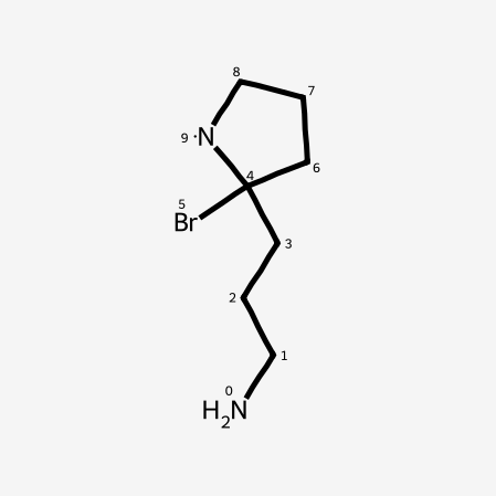 NCCCC1(Br)CCC[N]1